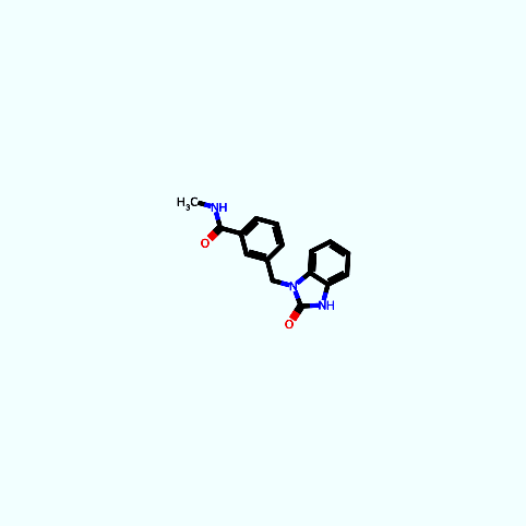 CNC(=O)c1cccc(Cn2c(=O)[nH]c3ccccc32)c1